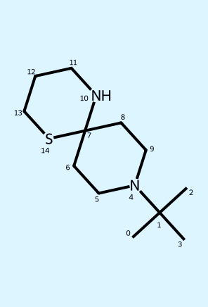 CC(C)(C)N1CCC2(CC1)NCCCS2